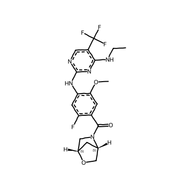 CCNc1nc(Nc2cc(F)c(C(=O)N3C[C@@H]4C[C@H]3CO4)cc2OC)ncc1C(F)(F)F